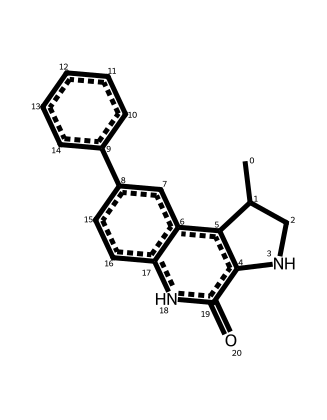 CC1CNc2c1c1cc(-c3ccccc3)ccc1[nH]c2=O